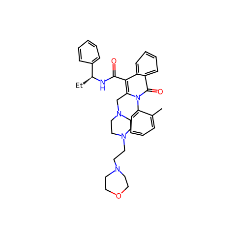 CC[C@H](NC(=O)c1c(CN2CCN(CCN3CCOCC3)CC2)n(-c2ccccc2C)c(=O)c2ccccc12)c1ccccc1